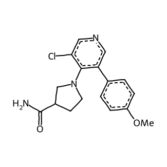 COc1ccc(-c2cncc(Cl)c2N2CCC(C(N)=O)C2)cc1